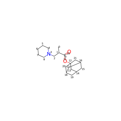 CC(CN1CCCCC1)C(=O)OC12CC3CC(CC(C3)C1)C2